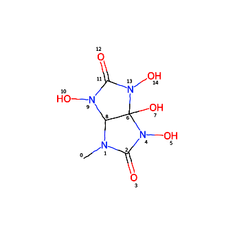 CN1C(=O)N(O)C2(O)C1N(O)C(=O)N2O